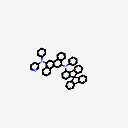 c1ccc(N(c2cccnc2)c2cc3c4ccccc4c(N(c4ccccc4)c4cccc5c4-c4ccccc4C54c5ccccc5-c5ccccc54)cc3c3ccccc23)cc1